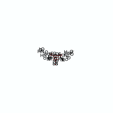 CC(C)(C)OC(=O)NCCC(=O)C1Nc2ccccc2-c2c(nnn2-c2c(F)c(F)c(C(=O)OC(=O)c3c(F)c(F)c(-n4nnc5c4-c4ccccc4C(C(=O)CCNC(=O)OC(C)(C)C)Nc4ccccc4-5)c(F)c3C3=C4C=CC(=[N+]5CCC5)C=C4[Si](C)(C)c4cc(N5CCC5)ccc43)c(C3=C4C=CC(=[N+]5CCC5)C=C4[Si](C)(C)c4cc(N5CCC5)ccc43)c2F)-c2ccccc21